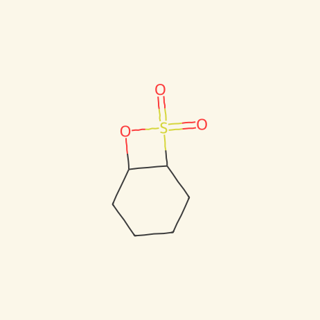 O=S1(=O)OC2CCCCC21